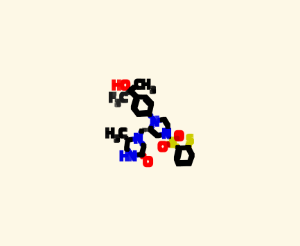 C[C@H]1CNC(=O)CN1C[C@H]1CN(S(=O)(=O)C2=CC=CCC2=S)CCN1c1ccc([C@@](C)(O)C(F)(F)F)cc1